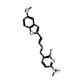 CNc1ccc(CC/C=C/c2cc3cc(OC)ccc3o2)c(F)n1